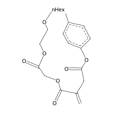 C=C(CC(=O)Oc1ccc(C)cc1)C(=O)OCC(=O)OCCOCCCCCC